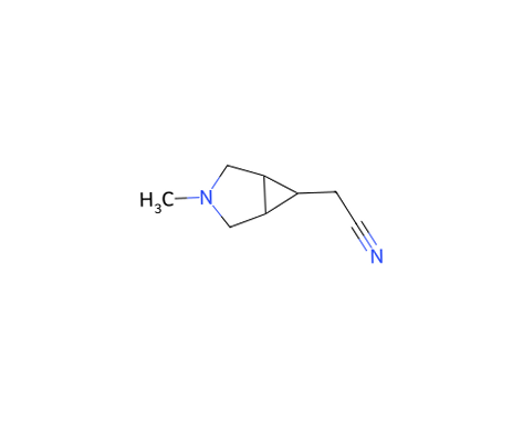 CN1CC2C(CC#N)C2C1